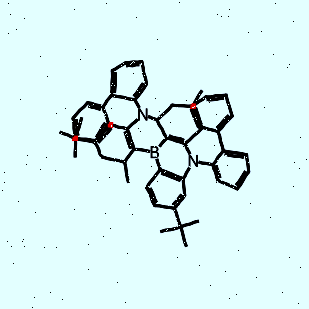 CC1=CC2=C3B(C4=C(C=C(C(C)(C)C)CC4C)N(c4ccccc4-c4ccccc4)C3C1)c1ccc(C(C)(C)C)cc1N2c1ccccc1-c1ccccc1